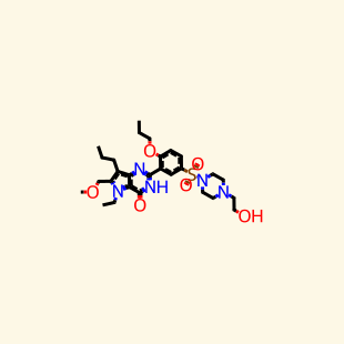 CCCOc1ccc(S(=O)(=O)N2CCN(CCO)CC2)cc1-c1nc2c(CCC)c(COC)n(CC)c2c(=O)[nH]1